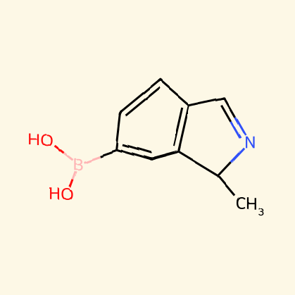 CC1N=Cc2ccc(B(O)O)cc21